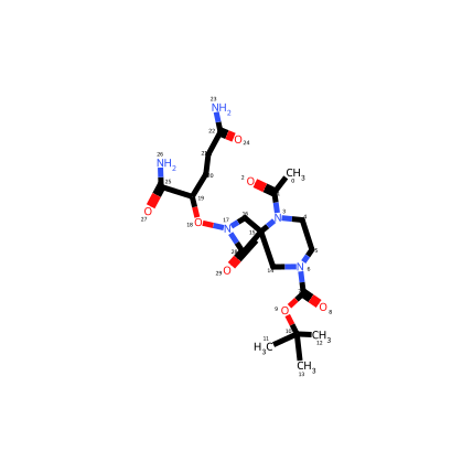 CC(=O)N1CCN(C(=O)OC(C)(C)C)CC12CN(OC(CCC(N)=O)C(N)=O)C2=O